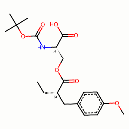 CC[C@@H](Cc1ccc(OC)cc1)C(=O)OC[C@H](NC(=O)OC(C)(C)C)C(=O)O